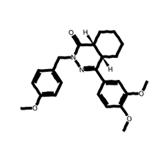 COc1ccc(CN2N=C(c3ccc(OC)c(OC)c3)[C@H]3CCCC[C@H]3C2=O)cc1